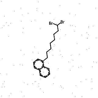 BrC(Br)CCCCCCCc1cccc2ccccc12